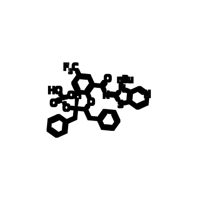 CCCCn1c(=NC(=O)c2cc(C(F)(F)F)ccc2OC(Cc2ccccc2)[C@](C)(Cc2ccccc2)OP(=O)(O)O)sc2ccncc21